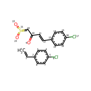 C=Cc1ccc(Cl)cc1.O=C(C=Cc1ccc(Cl)cc1)C=S(=O)=O